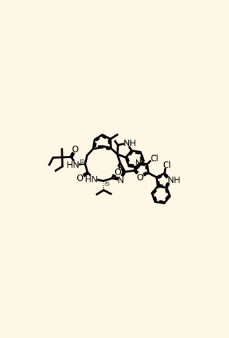 CCC(C)(CC)C(=O)N[C@H]1Cc2ccc(C)c(c2)C2(c3ccccc3NC2C)c2oc(nc2-c2nc(Cl)c(-c3c(Cl)[nH]c4ccccc34)o2)[C@H](C(C)C)NC1=O